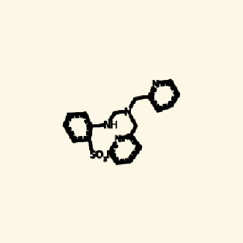 O=S(=O)(O)c1ccccc1NCN(Cc1ccccn1)Cc1ccccn1